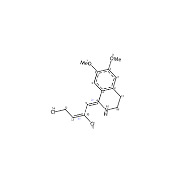 COc1cc2c(cc1OC)/C(=C/C(Cl)=C\CCl)NCC2